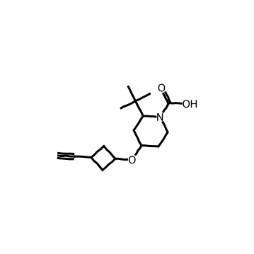 C#CC1CC(OC2CCN(C(=O)O)C(C(C)(C)C)C2)C1